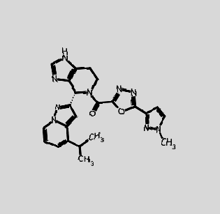 CC(C)c1cccn2nc([C@@H]3c4nc[nH]c4CCN3C(=O)c3nnc(-c4ccn(C)n4)o3)cc12